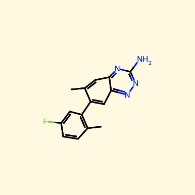 Cc1ccc(F)cc1-c1cc2nnc(N)nc2cc1C